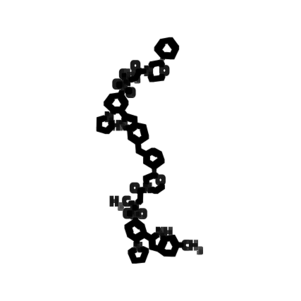 Cc1ccc2cc(-c3cc(S(=O)(=O)N(C)CC(=O)N4CCO[C@H](c5cccc(Cc6ccc7cc(-c8cc(S(=O)(=O)N(C)CC(=O)N9CCO[C@@H](c%10ccccc%10)C9)ccc8N8CCCC8)[nH]c7c6)c5)C4)ccc3N3CCCC3)[nH]c2c1